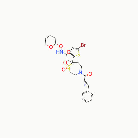 O=C(CC1(c2ccc(Br)s2)CCN(C(=O)/C=C/c2ccccc2)CCS1(=O)=O)NOC1CCCCO1